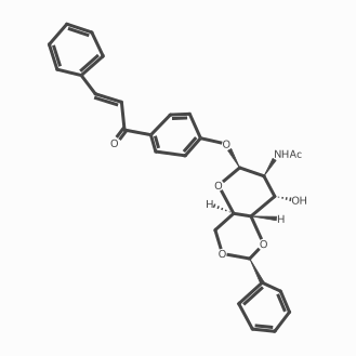 CC(=O)N[C@@H]1[C@H](Oc2ccc(C(=O)/C=C/c3ccccc3)cc2)O[C@@H]2CO[C@H](c3ccccc3)O[C@H]2[C@H]1O